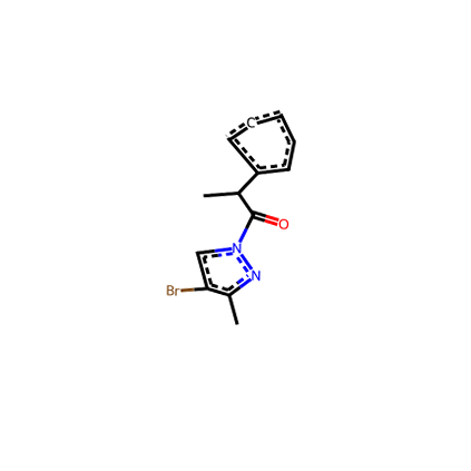 Cc1nn(C(=O)C(C)c2ccccc2)cc1Br